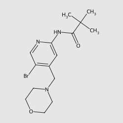 CC(C)(C)C(=O)Nc1cc(CN2CCOCC2)c(Br)cn1